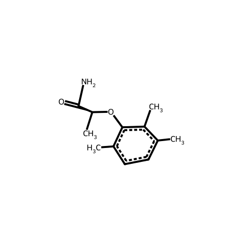 Cc1ccc(C)c(OC(C)C(N)=O)c1C